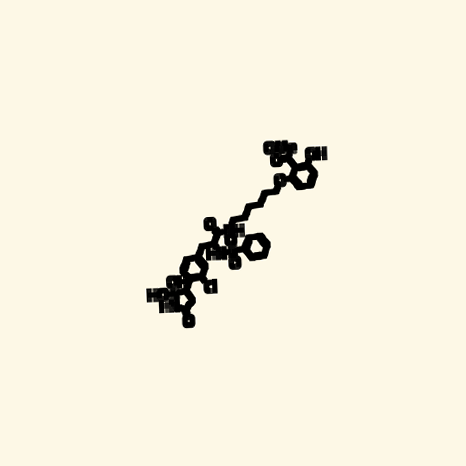 COC(=O)c1c(O)cccc1OCCCCCCNC(=O)C(Cc1ccc(C2CC(=O)NS2(O)O)c(Cl)c1)NS(=O)(=O)c1ccccc1